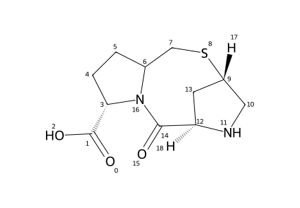 O=C(O)[C@@H]1CCC2CS[C@@H]3CN[C@H](C3)C(=O)N21